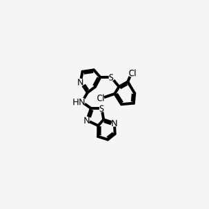 Clc1cccc(Cl)c1Sc1ccnc(Nc2nc3cccnc3s2)c1